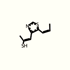 C/C=C\c1scnc1/C=C(\C)S